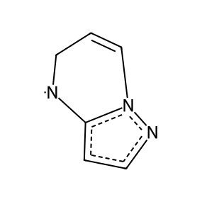 C1=Cn2nccc2[N]C1